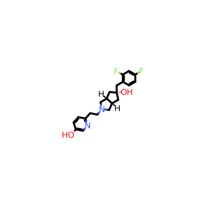 Oc1ccc(CCN2C[C@@H]3C[C@@](O)(Cc4ccc(F)cc4F)C[C@@H]3C2)nc1